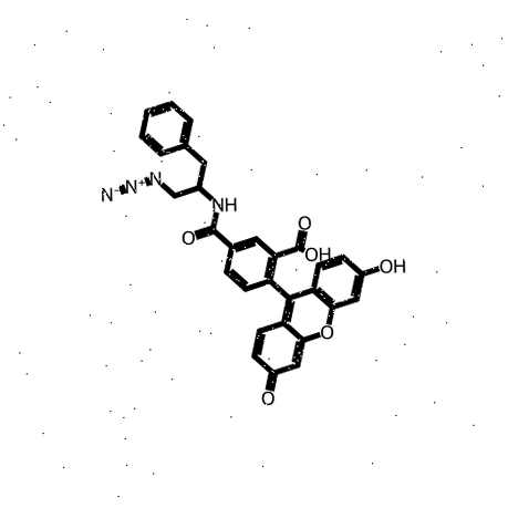 [N-]=[N+]=NCC(Cc1ccccc1)NC(=O)c1ccc(-c2c3ccc(=O)cc-3oc3cc(O)ccc23)c(C(=O)O)c1